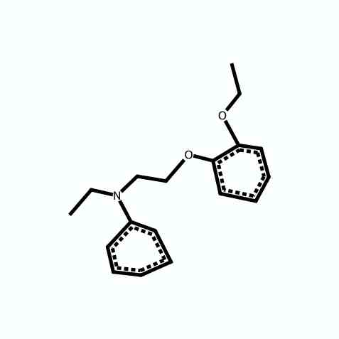 CCOc1ccccc1OCCN(CC)c1ccccc1